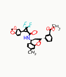 COC(=O)c1cccc([C@H]2C[C@@H](NC(=O)C3C(c4ccc5c(c4)OCO5)C3(F)F)c3ccc(C)cc3O2)c1